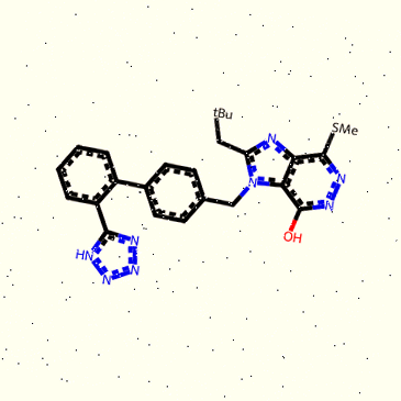 CSc1nnc(O)c2c1nc(CC(C)(C)C)n2Cc1ccc(-c2ccccc2-c2nnn[nH]2)cc1